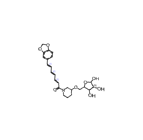 O=C(/C=C/C=C/C=C/c1ccc2c(c1)OCO2)N1CCCC(OCC2OC(O)[C@@H](O)C2O)C1